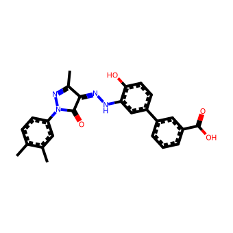 CC1=NN(c2ccc(C)c(C)c2)C(=O)/C1=N\Nc1cc(-c2cccc(C(=O)O)c2)ccc1O